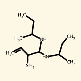 C=CC([SiH3])C(NC(C)CC)NC(C)CC